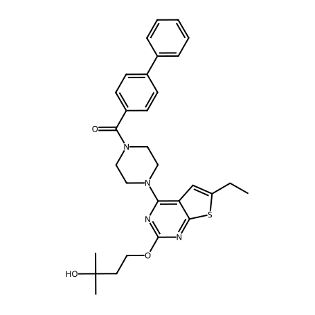 CCc1cc2c(N3CCN(C(=O)c4ccc(-c5ccccc5)cc4)CC3)nc(OCCC(C)(C)O)nc2s1